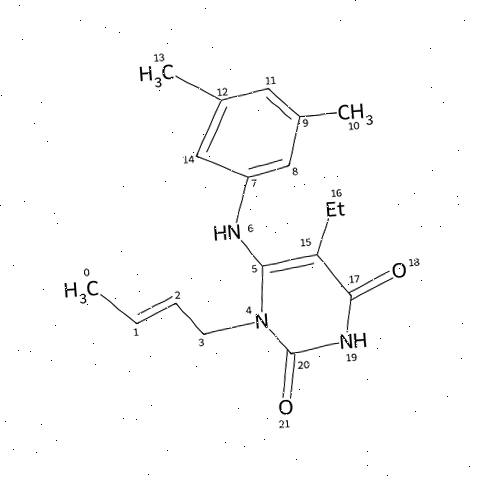 CC=CCn1c(Nc2cc(C)cc(C)c2)c(CC)c(=O)[nH]c1=O